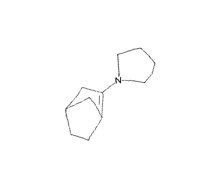 C1CCN(C2=C3CCC(C3)C2)C1